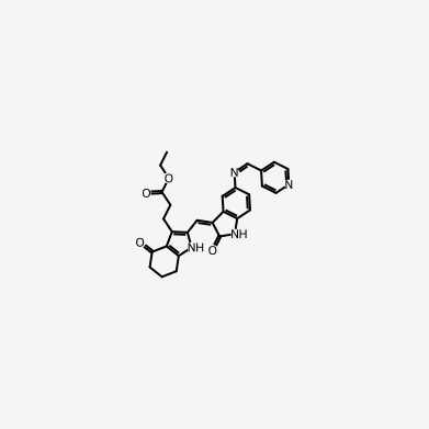 CCOC(=O)CCc1c(C=C2C(=O)Nc3ccc(/N=C\c4ccncc4)cc32)[nH]c2c1C(=O)CCC2